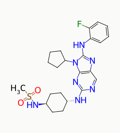 CS(=O)(=O)N[C@H]1CC[C@H](Nc2ncc3nc(Nc4ccccc4F)n(C4CCCC4)c3n2)CC1